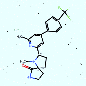 Cc1cc(-c2ccc(C(F)(F)F)cc2)cc([C@H]2CC[C@@]3(CCNC3=O)N2C)n1.Cl